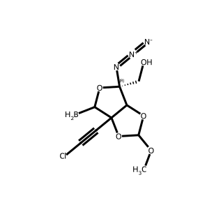 BC1O[C@@](CO)(N=[N+]=[N-])C2OC(OC)OC12C#CCl